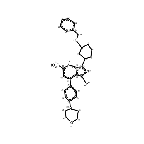 CC(C)c1nn(C2CCCC(OCc3ccccc3)C2)c2nc(C(=O)O)cc(-c3ccc(N4CCOCC4)cc3)c12